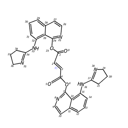 O=C(/C=C/C(=O)Oc1nccc2cccc(NC3=NCCC3)c12)Oc1nccc2cccc(NC3=NCCC3)c12